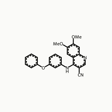 COc1cc2ncc(C#N)c(Nc3cccc(Oc4ccccc4)c3)c2cc1OC